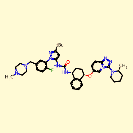 C[C@H]1CCCCN1c1nnc2ccc(O[C@@H]3CC[C@H](NC(=O)Nc4cc(C(C)(C)C)nn4-c4cc(CN5CCN(C)CC5)ccc4F)c4ccccc43)cn12